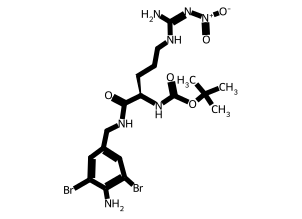 CC(C)(C)OC(=O)N[C@H](CCCN/C(N)=N\[N+](=O)[O-])C(=O)NCc1cc(Br)c(N)c(Br)c1